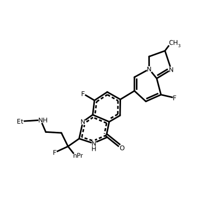 CCCC(F)(CCNCC)c1nc2c(F)cc(C3=CN4CC(C)N=C4C(F)=C3)cc2c(=O)[nH]1